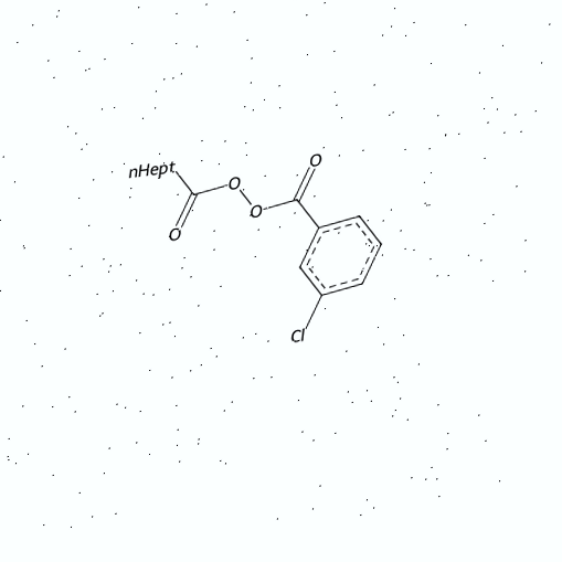 CCCCCCCC(=O)OOC(=O)c1cccc(Cl)c1